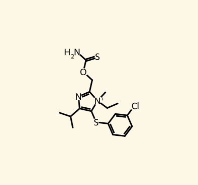 CC[N+]1(C)C(COC(N)=S)=NC(C(C)C)=C1Sc1cccc(Cl)c1